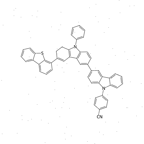 N#Cc1ccc(-n2c3ccccc3c3cc(-c4ccc5c(c4)c4c(n5-c5ccccc5)CCC(c5cccc6c5sc5ccccc56)=C4)ccc32)cc1